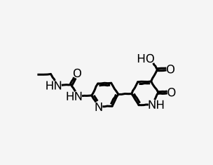 CCNC(=O)Nc1ccc(-c2c[nH]c(=O)c(C(=O)O)c2)cn1